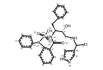 CCC(NC[C@@H](O)[C@H](Cc1ccccc1)NC(=O)c1ccccc1N(c1ccccc1)S(C)(=O)=O)c1cn[nH]c1